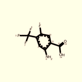 Nc1cc(C(F)(F)F)c(F)cc1C(=O)O